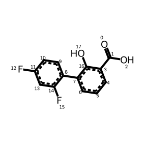 O=C(O)c1cccc(-c2ccc(F)cc2F)c1O